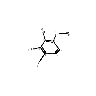 COc1ccc(F)c(F)c1O